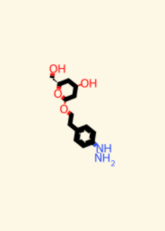 NNc1ccc(CCO[C@H]2C[C@@H](O)C[C@@H](CO)O2)cc1